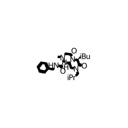 CCC(C)[C@H]1C(=O)N(CC(C)C)C[C@H]2N1C(=O)CN(C)N2C(=O)NCc1ccccc1